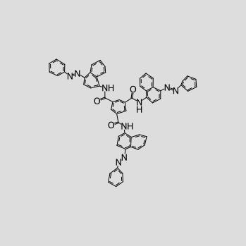 O=C(Nc1ccc(/N=N/c2ccccc2)c2ccccc12)c1cc(C(=O)Nc2ccc(/N=N/c3ccccc3)c3ccccc23)cc(C(=O)Nc2ccc(/N=N/c3ccccc3)c3ccccc23)c1